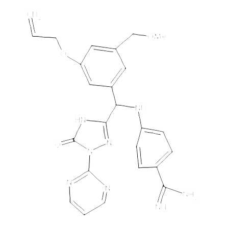 C=CCOc1cc(COC)cc(C(Nc2ccc(C(=N)N)cc2)c2nn(-c3ncccn3)c(=O)[nH]2)c1